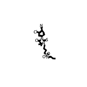 CC/C=N/S(=O)(=O)CCCCN1C(=S)N(c2ccc(C#N)c(Cl)c2)C(=O)C1(C)C